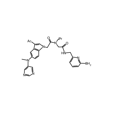 Bc1cccc(CNC(=O)CN(C(=O)Cn2cc(C(C)=O)c3cc(N(C)c4cncnc4)ccc32)C(C)C)n1